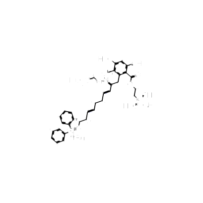 Cc1cc(C)c(C(=O)OCC[Si](C)(C)C)c(CC(/C=C/CC/C=C/CCO[Si](c2ccccc2)(c2ccccc2)C(C)(C)C)=NOCC(=O)O)c1Cl